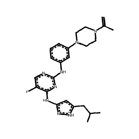 C=C(C)N1CCN(c2cccc(Nc3ncc(F)c(Nc4cc(CC(C)C)[nH]n4)n3)c2)CC1